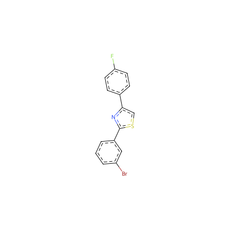 Fc1ccc(-c2csc(-c3cccc(Br)c3)n2)cc1